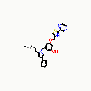 O=C(O)CCc1cc(-c2ccccc2)cn1Cc1cc(O)cc(OCc2csc(-c3cnccn3)n2)c1